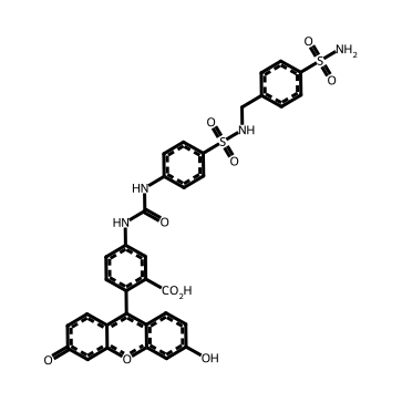 NS(=O)(=O)c1ccc(CNS(=O)(=O)c2ccc(NC(=O)Nc3ccc(-c4c5ccc(=O)cc-5oc5cc(O)ccc45)c(C(=O)O)c3)cc2)cc1